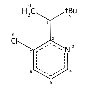 CC(c1ncccc1Cl)C(C)(C)C